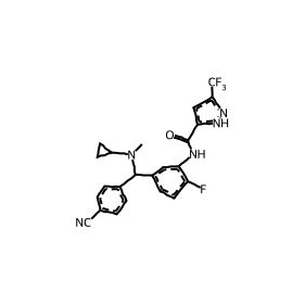 CN(C1CC1)C(c1ccc(C#N)cc1)c1ccc(F)c(NC(=O)c2cc(C(F)(F)F)n[nH]2)c1